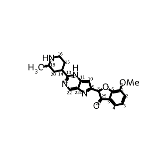 COc1cccc2c1OC(c1cc3[nH]c(C4CCNC(C)C4)ncc-3n1)C2=O